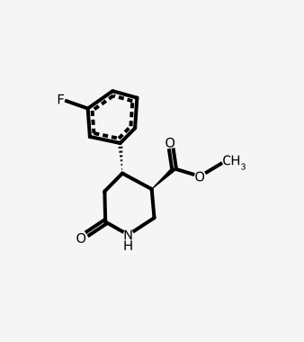 COC(=O)[C@H]1CNC(=O)C[C@@H]1c1cccc(F)c1